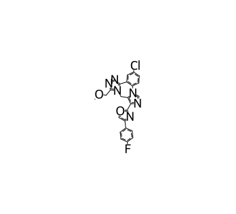 COCc1nnc2n1Cc1c(-c3nc(-c4ccc(F)cc4)co3)ncn1-c1ccc(Cl)cc1-2